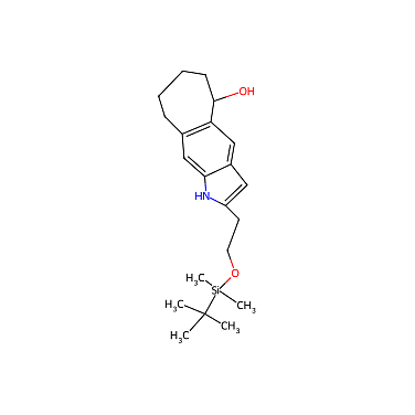 CC(C)(C)[Si](C)(C)OCCc1cc2cc3c(cc2[nH]1)CCCCC3O